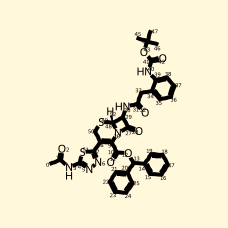 CC(=O)Nc1nnc(C2=C(C(=O)OC(c3ccccc3)c3ccccc3)N3C(=O)C(NC(=O)Cc4ccccc4NC(=O)OC(C)(C)C)[C@H]3SC2)s1